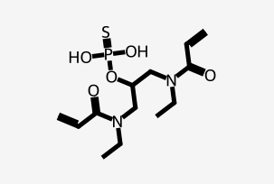 C=CC(=O)N(CC)CC(CN(CC)C(=O)C=C)OP(O)(O)=S